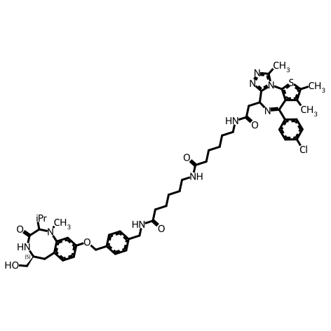 Cc1sc2c(c1C)C(c1ccc(Cl)cc1)=NC(CC(=O)NCCCCCC(=O)NCCCCCC(=O)NCc1ccc(COc3ccc4c(c3)N(C)C(C(C)C)C(=O)N[C@H](CO)C4)cc1)c1nnc(C)n1-2